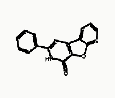 O=c1[nH]c(-c2ccccc2)nc2c1oc1ncccc12